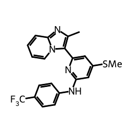 CSc1cc(Nc2ccc(C(F)(F)F)cc2)nc(-c2c(C)nc3ccccn23)c1